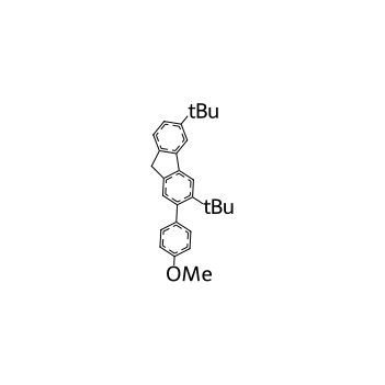 COc1ccc(-c2cc3c(cc2C(C)(C)C)-c2cc(C(C)(C)C)ccc2C3)cc1